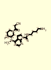 CN(c1ncnc2c1ccn2C(=S)NCCCCN)[C@H]1CN(C(=O)CC#N)CC[C@H]1F